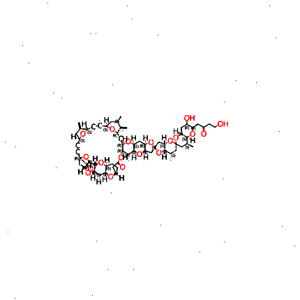 C=C1C[C@@H]2CC[C@]34C[C@H]5O[C@H]6[C@@H](O3)[C@H]3O[C@H](CC[C@@H]3O[C@H]6[C@@H]5O4)CC(=O)O[C@@H]3[C@@H](C)[C@@H]4O[C@@H]5C[C@]6(C[C@@H]7OC8(C[C@H](C)[C@@H]9O[C@H](CC(=O)CCO)[C@H](O)C[C@@H]9O8)C[C@H](C)[C@@H]7O6)O[C@@H]5C[C@@H]4O[C@@H]3C[C@@]3(C)O[C@@H](CC[C@@H]1O2)C[C@@H](C)C3=C